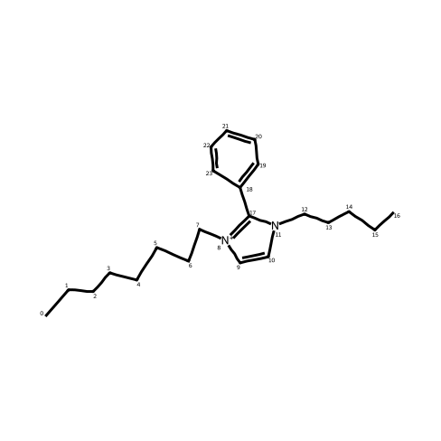 CCCCCCCC[n+]1ccn(CCCCC)c1-c1ccccc1